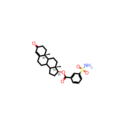 C[C@]12CCC(=O)C=C1CCC1C2CC[C@@]2(C)C1CC[C@@H]2OC(=O)c1cccc(S(N)(=O)=O)c1